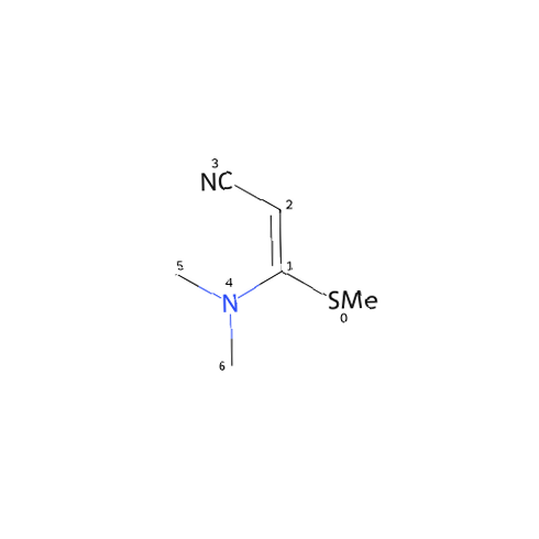 CSC(=CC#N)N(C)C